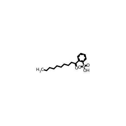 CCCCCCCCCC(=O)c1ccccc1S(=O)(=O)O